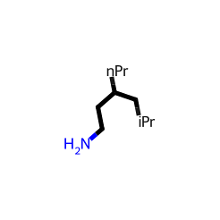 CCCC(CCN)CC(C)C